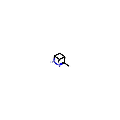 CC1=NNC2CC1C2C